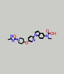 CCN(C(=O)O)c1ccc2c(ccn2-c2ccc(OC3CCN(c4nc(C)no4)CC3)cn2)c1